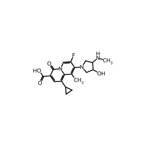 CNC1CN(c2c(F)cn3c(=O)c(C(=O)O)cc(C4CC4)c3c2C)CC1O